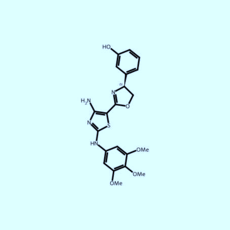 COc1cc(Nc2nc(N)c(C3=N[C@@H](c4cccc(O)c4)CO3)s2)cc(OC)c1OC